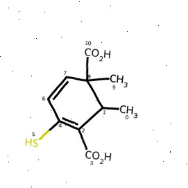 CC1C(C(=O)O)=C(S)C=CC1(C)C(=O)O